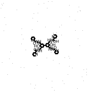 O=C(N/N=C/c1cc(-c2cc(/C=N/NC(=O)c3ccccn3)c(O)c(/C=N/NC(O)c3ccccn3)c2)cc(/C=N/NC(=O)c2ccccn2)c1O)c1ccccn1